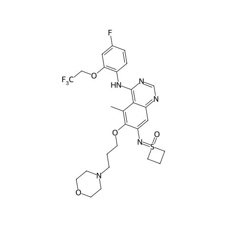 Cc1c(OCCCN2CCOCC2)c(N=S2(=O)CCC2)cc2ncnc(Nc3ccc(F)cc3OCC(F)(F)F)c12